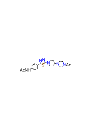 CC(=O)Nc1ccc(-c2nnc(N3CCC(N4CCN(C(C)=O)CC4)CC3)s2)cc1